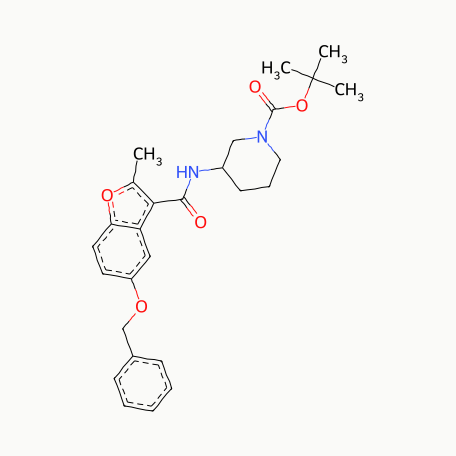 Cc1oc2ccc(OCc3ccccc3)cc2c1C(=O)NC1CCCN(C(=O)OC(C)(C)C)C1